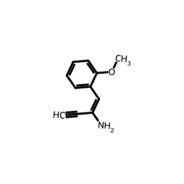 C#C/C(N)=C\c1ccccc1OC